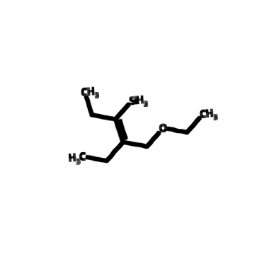 CCOCC(CC)=C([SiH3])CC